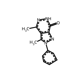 Cc1n[nH]c(=O)c2nn(-c3ccccc3)c(C)c12